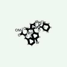 COC(=O)[C@H](Cc1ccccc1)NC(=O)C1=CC(C(C)(C)C)N(S(=O)(=O)C2CC=CC=C2Cl)C1c1ccc(Br)cc1